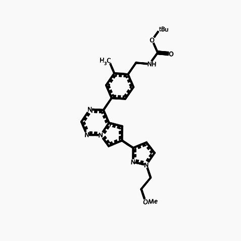 COCCn1ccc(-c2cc3c(-c4ccc(CNC(=O)OC(C)(C)C)c(C)c4)ncnn3c2)n1